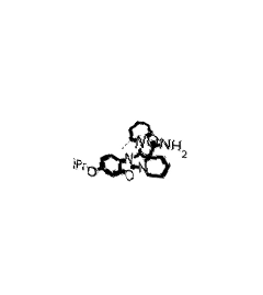 CC(C)Oc1ccc2nc(N3CCCCC3(C(N)=O)C(C)N3[C@H](C)CCC[C@@H]3C)oc2c1